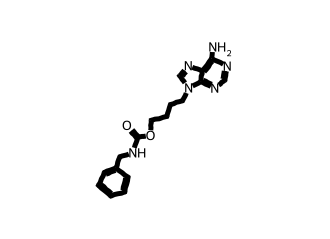 Nc1ncnc2c1ncn2CCCCOC(=O)NCc1ccccc1